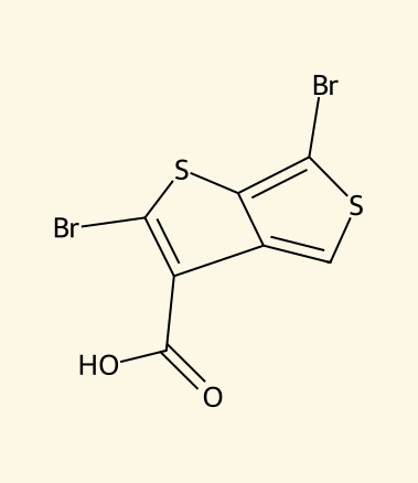 O=C(O)c1c(Br)sc2c(Br)scc12